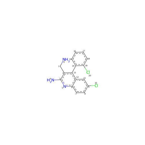 NCc1c(N)nc2ccc(Cl)cc2c1-c1ccccc1Cl